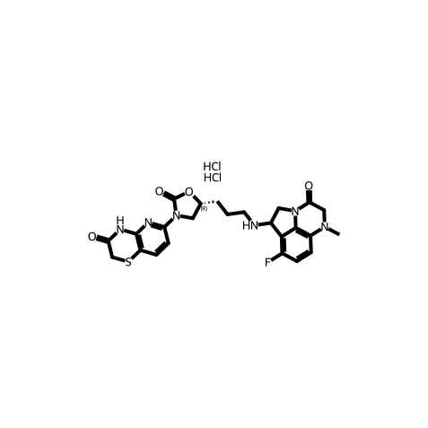 CN1CC(=O)N2CC(NCCC[C@@H]3CN(c4ccc5c(n4)NC(=O)CS5)C(=O)O3)c3c(F)ccc1c32.Cl.Cl